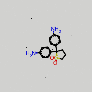 Nc1ccc(C2(c3ccc(N)cc3)CCCS2(=O)=O)cc1